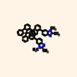 Cc1nc2ccc(-c3cccc4c(-c5cccc6c5C5(c7ccccc7-c7ccccc75)c5ccccc5-6)c5cccc(-c6ccc7nc(C)n(C)c7c6)c5cc34)cc2n1C